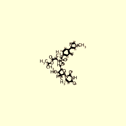 CC(C)OC(=O)[C@H](C)NP(=O)(OC[C@H]1O[C@@H](n2ccc(=O)[nH]c2=O)[C@](C)(F)[C@@H]1O)Oc1ccc(-c2cn(C)cn2)c(F)c1